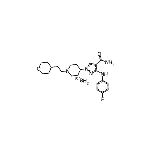 B[C@@H]1CN(CCC2CCOCC2)CCC1n1cc(C(N)=O)c(Nc2ccc(F)cc2)n1